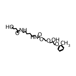 Cc1ccccc1OCC(O)COCCOC(=O)NCCCCCCNC(=O)CCO